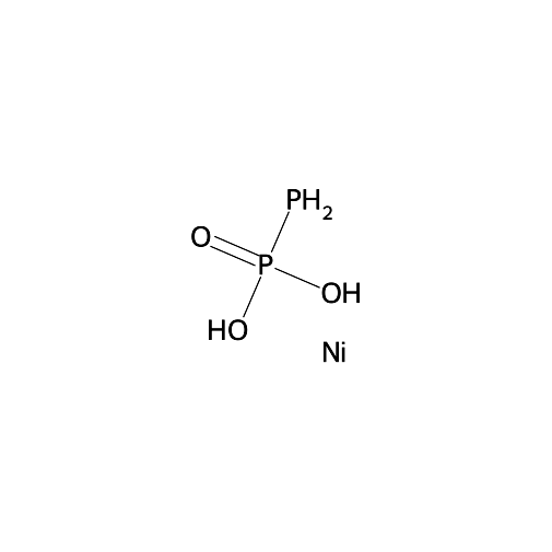 O=P(O)(O)P.[Ni]